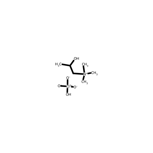 CC(O)C[N+](C)(C)C.[O-][Cl+3]([O-])([O-])O